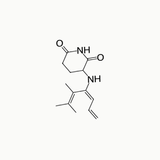 C=C/C=C(/NC1CCC(=O)NC1=O)C(C)=C(C)C